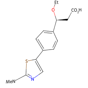 CCO[C@@H](CC(=O)O)c1ccc(-c2cnc(NC)s2)cc1